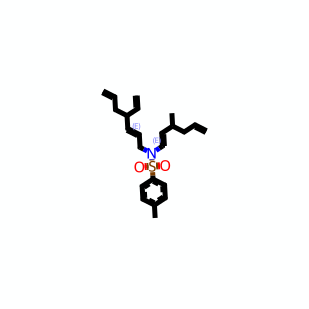 C=CCC(C)/C=C/N(C/C=C/C(C=C)CC=C)S(=O)(=O)c1ccc(C)cc1